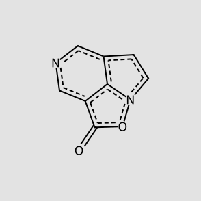 O=c1on2ccc3cncc1c32